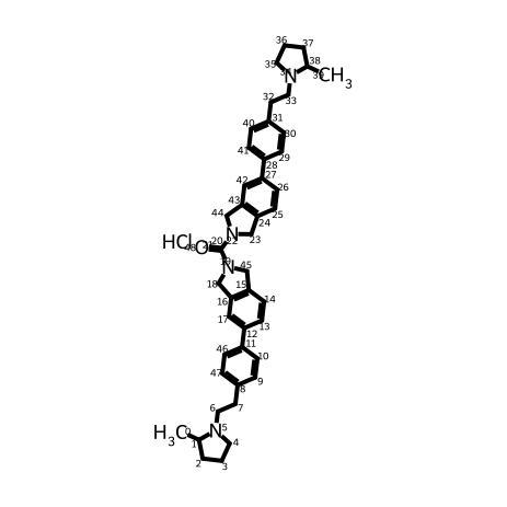 CC1CCCN1CCc1ccc(-c2ccc3c(c2)CN(C(=O)N2Cc4ccc(-c5ccc(CCN6CCCC6C)cc5)cc4C2)C3)cc1.Cl